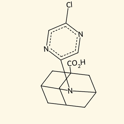 O=C(O)C12CC3CC(C1)N(c1cnc(Cl)cn1)C(C3)C2